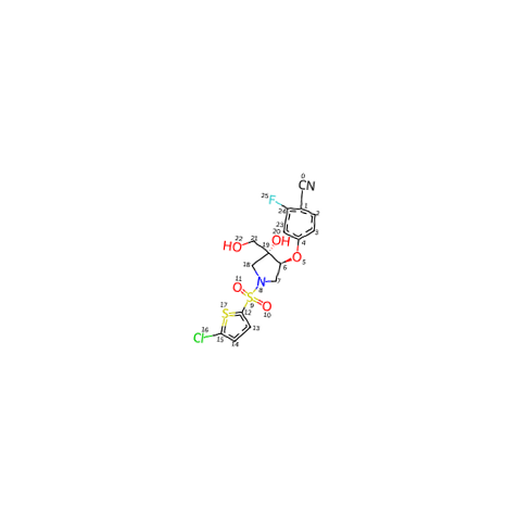 N#Cc1ccc(O[C@H]2CN(S(=O)(=O)c3ccc(Cl)s3)C[C@@]2(O)CO)cc1F